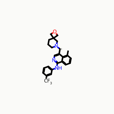 Cc1cccc2c(Nc3cccc(C(F)(F)F)c3)ncc([C]N3CCCC4(COC4)C3)c12